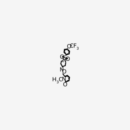 Cn1c(CON=C2CCN(S(=O)(=O)c3ccc(OC(F)(F)F)cc3)CC2)cccc1=O